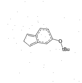 CC(C)(C)Oc1ccc2c(c1)=CCC=2